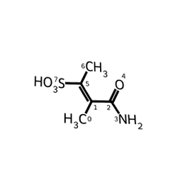 C/C(C(N)=O)=C(/C)S(=O)(=O)O